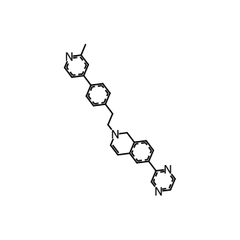 Cc1cc(-c2ccc(CCN3C=Cc4cc(-c5cnccn5)ccc4C3)cc2)ccn1